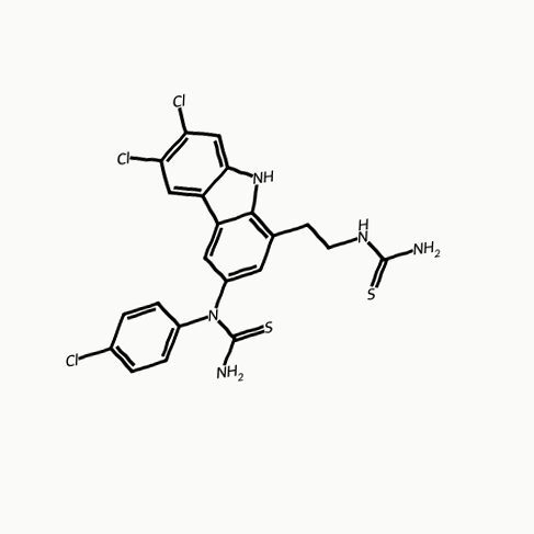 NC(=S)NCCc1cc(N(C(N)=S)c2ccc(Cl)cc2)cc2c1[nH]c1cc(Cl)c(Cl)cc12